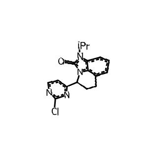 CC(C)n1c(=O)n2c3c(cccc31)CCC2c1ccnc(Cl)n1